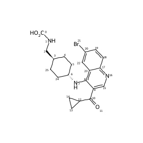 O=C(O)NC[C@H]1CC[C@H](Nc2c(C(=O)C3CC3)cnc3ccc(Br)cc23)CC1